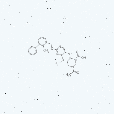 COc1nc(OCc2cccc(-c3ccccc3)c2C)ncc1CN1CCN(C(C)=O)C[C@H]1C(=O)O